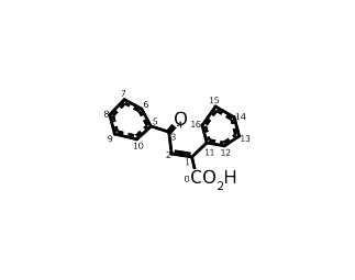 O=C(O)C(=CC(=O)c1ccccc1)c1ccccc1